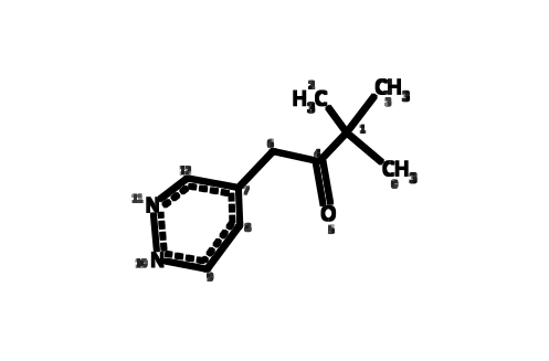 CC(C)(C)C(=O)Cc1ccnnc1